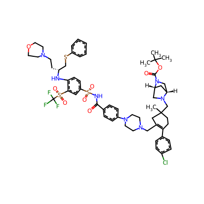 CC1(CN2C[C@H]3C[C@@H]2CN3C(=O)OC(C)(C)C)CCC(c2ccc(Cl)cc2)=C(CN2CCN(c3ccc(C(=O)NS(=O)(=O)c4ccc(N[C@H](CCN5CCOCC5)CSc5ccccc5)c(S(=O)(=O)C(F)(F)F)c4)cc3)CC2)C1